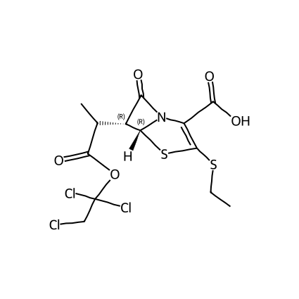 CCSC1=C(C(=O)O)N2C(=O)[C@@H](C(C)C(=O)OC(Cl)(Cl)CCl)[C@H]2S1